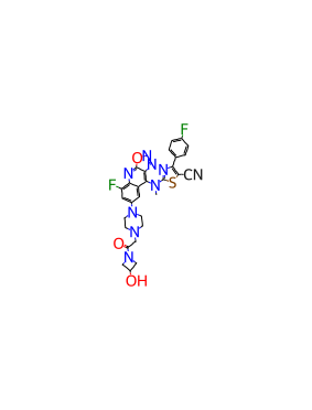 CN(c1nc(-c2ccc(F)cc2)c(C#N)s1)c1c2cc(N3CCN(CC(=O)N4CC(O)C4)CC3)cc(F)c2nc2onnc12